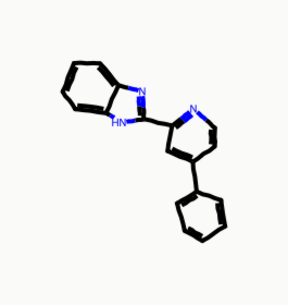 c1ccc(-c2ccnc(-c3nc4ccccc4[nH]3)c2)cc1